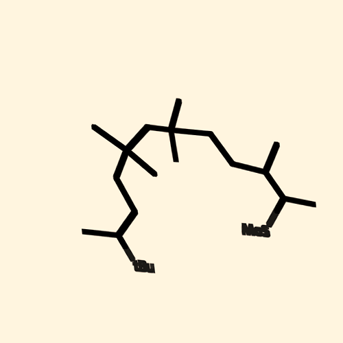 CSC(C)C(C)CCC(C)(C)CC(C)(C)CCC(C)C(C)(C)C